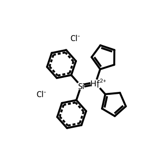 C1=CC[C]([Hf+2]([C]2=CC=CC2)=[Si](c2ccccc2)c2ccccc2)=C1.[Cl-].[Cl-]